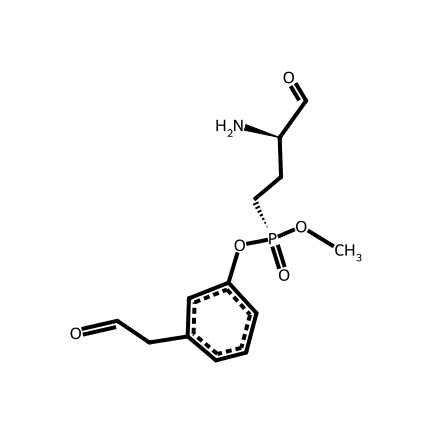 CO[P@](=O)(CC[C@@H](N)C=O)Oc1cccc(CC=O)c1